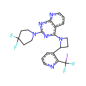 FC1(F)CCN(c2nc(N3CCC3c3cccnc3C(F)(F)I)c3cccnc3n2)CC1